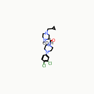 O=C([C@H]1CN(CC2CC2)CCN1C(=O)O)N1CCN(c2ccc(Cl)c(Cl)c2)CC1